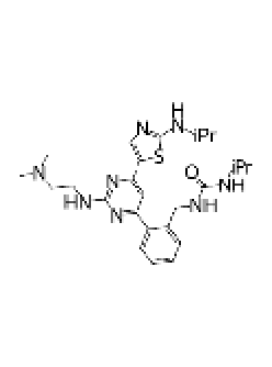 CC(C)NC(=O)NCc1ccccc1-c1cc(-c2cnc(NC(C)C)s2)nc(NCCN(C)C)n1